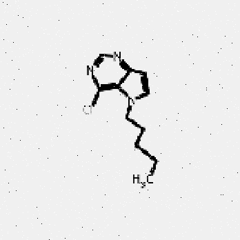 CCCCCn1ccc2ncnc(Cl)c21